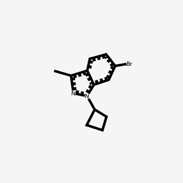 Cc1nn(C2CCC2)c2cc(Br)ccc12